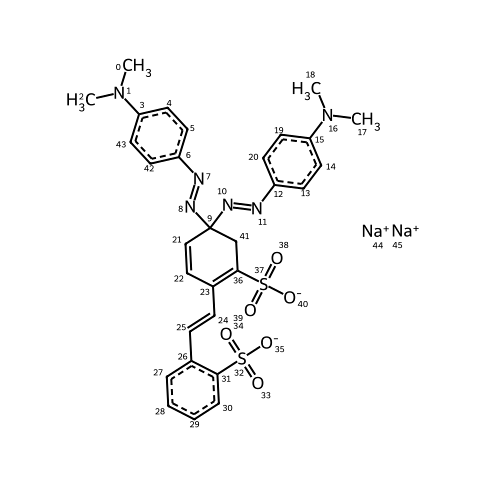 CN(C)c1ccc(N=NC2(N=Nc3ccc(N(C)C)cc3)C=CC(C=Cc3ccccc3S(=O)(=O)[O-])=C(S(=O)(=O)[O-])C2)cc1.[Na+].[Na+]